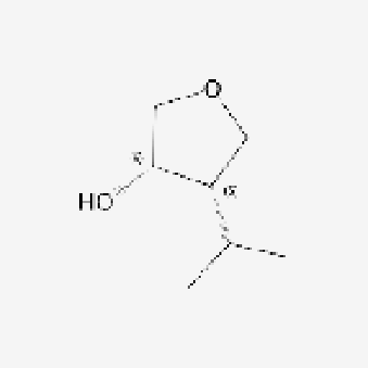 CC(C)[C@H]1COC[C@H]1O